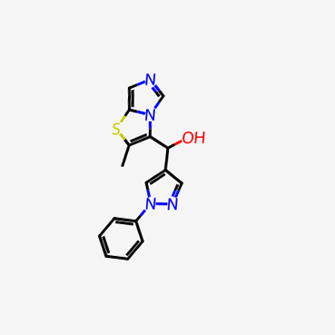 Cc1sc2cncn2c1C(O)c1cnn(-c2ccccc2)c1